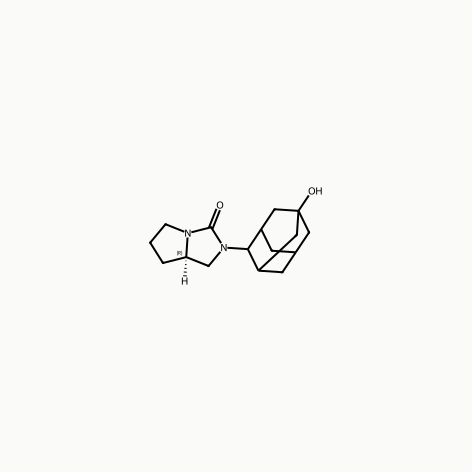 O=C1N(C2C3CC4CC2CC(O)(C4)C3)C[C@H]2CCCN12